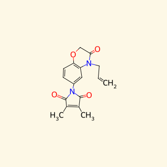 C=CCN1C(=O)COc2ccc(N3C(=O)C(C)=C(C)C3=O)cc21